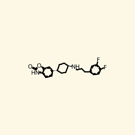 O=c1[nH]c2ccc([C@H]3CC[C@H](NCCCc4ccc(F)c(F)c4)CC3)cc2o1